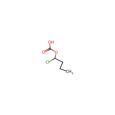 CCCC(Cl)OC(=O)O